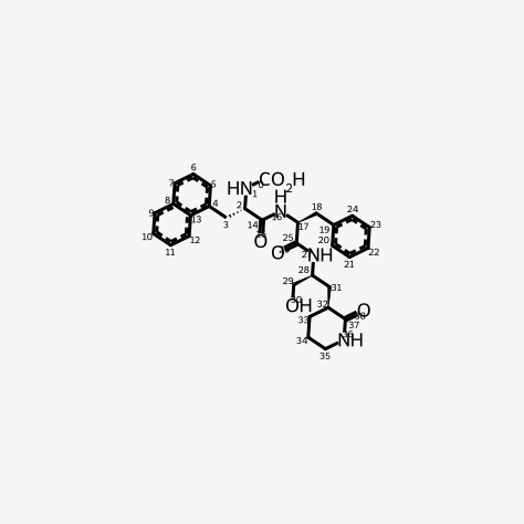 O=C(O)N[C@@H](Cc1cccc2ccccc12)C(=O)N[C@@H](Cc1ccccc1)C(=O)N[C@H](CO)C[C@@H]1CCCNC1=O